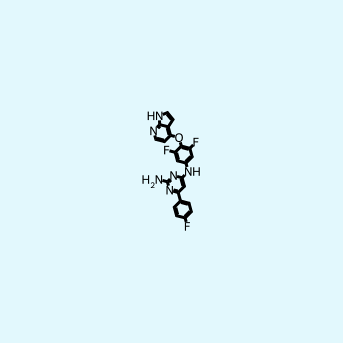 Nc1nc(Nc2cc(F)c(Oc3ccnc4[nH]ccc34)c(F)c2)cc(-c2ccc(F)cc2)n1